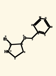 CCC1NCCC1OCc1ccccc1